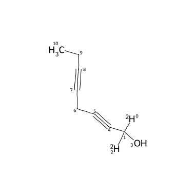 [2H]C([2H])(O)C#CCC#CCC